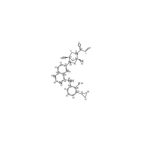 C=CC(=O)N1C[C@@H]2C[C@H]1CN2c1ccc2ncnc(Nc3cccc(C4CC4)c3F)c2n1